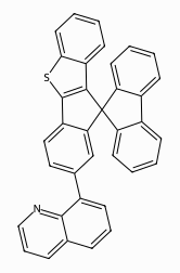 c1ccc2c(c1)-c1ccccc1C21c2cc(-c3cccc4cccnc34)ccc2-c2sc3ccccc3c21